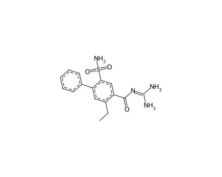 CCc1cc(-c2ccccc2)c(S(N)(=O)=O)cc1C(=O)N=C(N)N